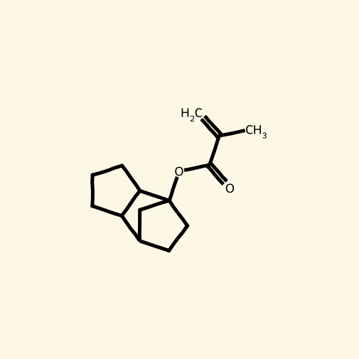 C=C(C)C(=O)OC12CCC(C1)C1CCCC12